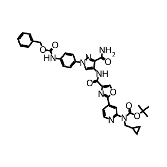 CC(C)(C)OC(=O)N(CC1CC1)c1cc(-c2nc(C(=O)Nc3cn(-c4ccc(NC(=O)OCc5ccccc5)cc4)nc3C(N)=O)co2)ccn1